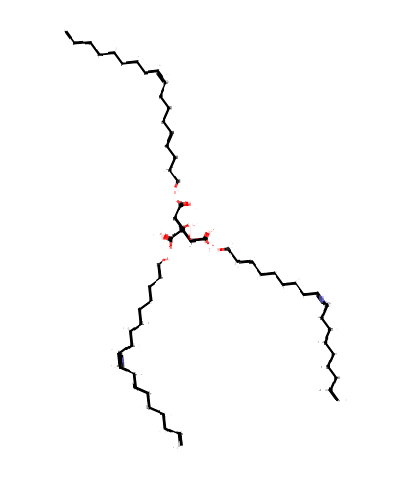 CCCCCCCC/C=C\CCCCCCCCOC(=O)CC(O)(CC(=O)OCCCCCCCC/C=C\CCCCCCCC)C(=O)OCCCCCCCC/C=C\CCCCCCCC